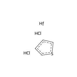 Cl.Cl.[Hf].c1ccsc1